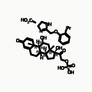 CC(=O)O.CC(C)c1ccccc1OCC1=NCCN1.C[C@]12C=CC(=O)C=C1CC[C@@H]1[C@@H]2[C@@H](O)C[C@@]2(C)[C@H]1CC[C@]2(O)C(=O)COP(=O)(O)O